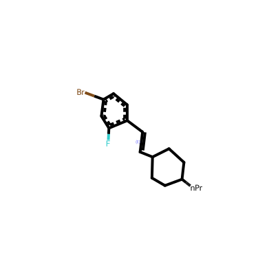 CCCC1CCC(/C=C/c2ccc(Br)cc2F)CC1